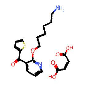 NCCCCCCOc1ncccc1C(=O)c1cccs1.O=C(O)/C=C\C(=O)O